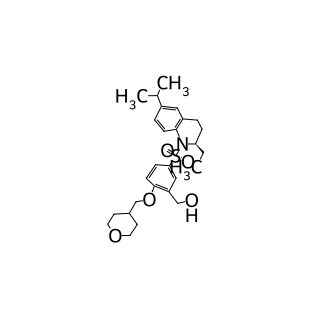 CC[C@@H]1CCc2cc(C(C)C)ccc2N1S(=O)(=O)c1ccc(OCC2CCOCC2)c(CO)c1